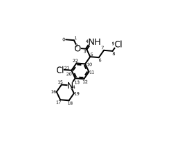 CCOC(=N)C(CCCCl)c1ccc(N2CCCCC2)c(Cl)c1